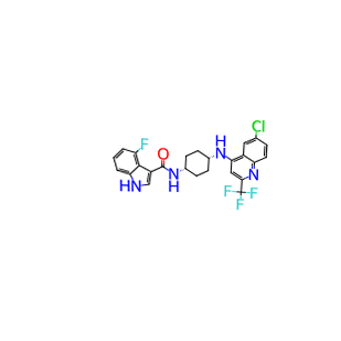 O=C(N[C@H]1CC[C@@H](Nc2cc(C(F)(F)F)nc3ccc(Cl)cc23)CC1)c1c[nH]c2cccc(F)c12